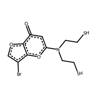 O=c1cc(N(CCS)CCS)oc2c(Br)coc12